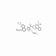 COc1ccc(-c2nc(C(=O)N3CCN(c4ccccc4OC(F)F)C(=O)C3)c(CCN)o2)c2ccc(C(F)(F)F)nc12